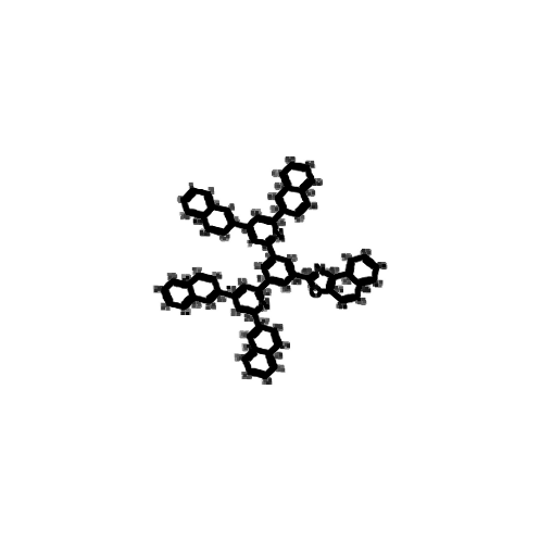 c1ccc2cc(-c3cc(-c4cc(-c5cc(-c6ccc7ccccc7c6)cc(-c6ccc7ccccc7c6)n5)cc(-c5nc6c(ccc7ccccc76)o5)c4)nc(-c4ccc5ccccc5c4)c3)ccc2c1